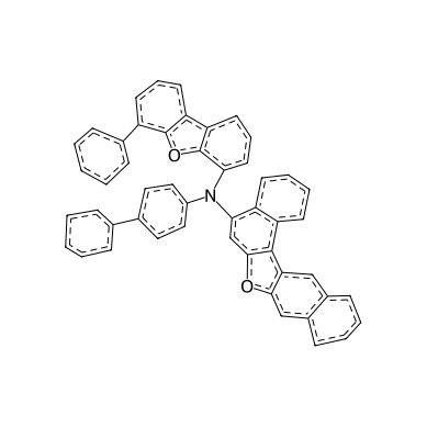 c1ccc(-c2ccc(N(c3cc4oc5cc6ccccc6cc5c4c4ccccc34)c3cccc4c3oc3c(-c5ccccc5)cccc34)cc2)cc1